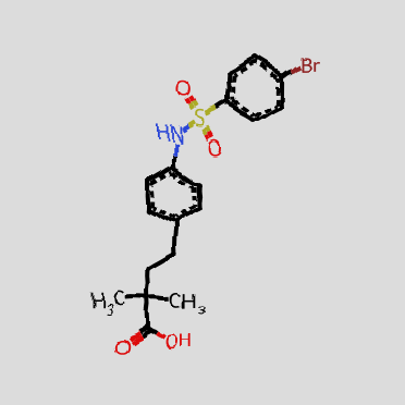 CC(C)(CCc1ccc(NS(=O)(=O)c2ccc(Br)cc2)cc1)C(=O)O